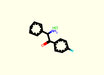 Cl.NC(C(=O)c1ccc(F)cc1)c1ccccc1